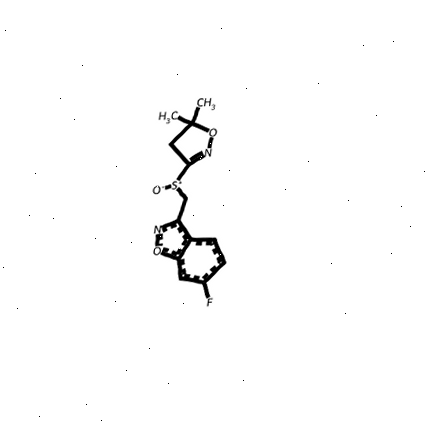 CC1(C)CC([S+]([O-])Cc2noc3cc(F)ccc23)=NO1